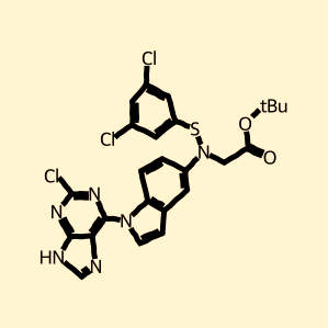 CC(C)(C)OC(=O)CN(Sc1cc(Cl)cc(Cl)c1)c1ccc2c(ccn2-c2nc(Cl)nc3[nH]cnc23)c1